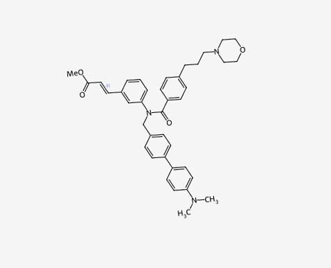 COC(=O)/C=C/c1cccc(N(Cc2ccc(-c3ccc(N(C)C)cc3)cc2)C(=O)c2ccc(CCCN3CCOCC3)cc2)c1